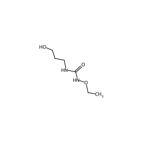 CCONC(=O)NCCCO